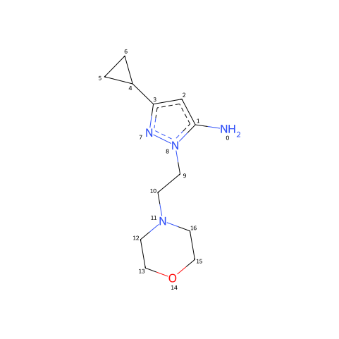 Nc1cc(C2CC2)nn1CCN1CCOCC1